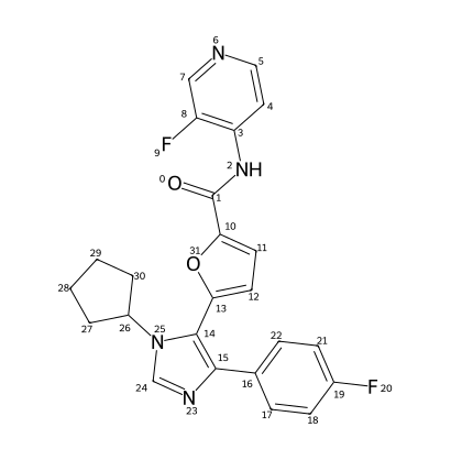 O=C(Nc1ccncc1F)c1ccc(-c2c(-c3ccc(F)cc3)ncn2C2CCCC2)o1